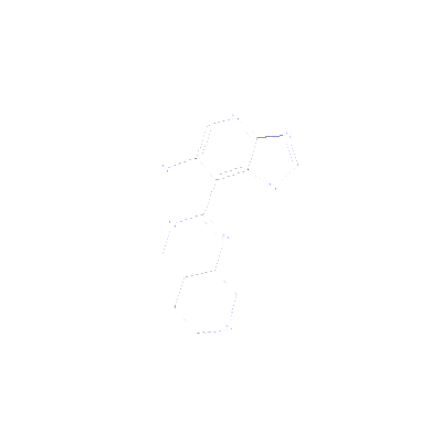 CNC(=NC1CCCNC1)c1c(N)cnc2nc[nH]c12